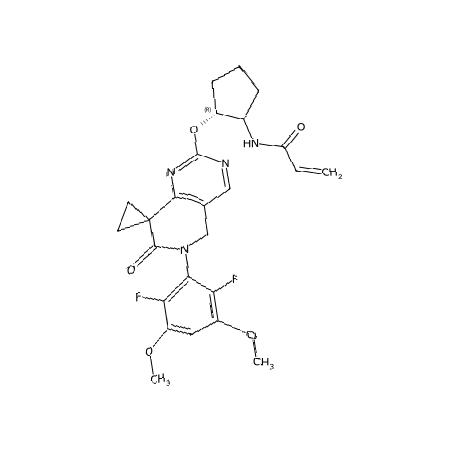 C=CC(=O)NC1CCC[C@H]1Oc1ncc2c(n1)C1(CC1)C(=O)N(c1c(F)c(OC)cc(OC)c1F)C2